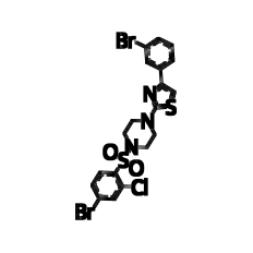 O=S(=O)(c1ccc(Br)cc1Cl)N1CCN(c2nc(-c3cccc(Br)c3)cs2)CC1